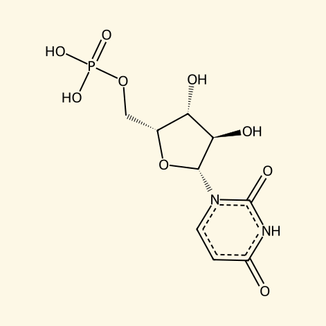 O=c1ccn([C@@H]2O[C@H](COP(=O)(O)O)[C@H](O)[C@H]2O)c(=O)[nH]1